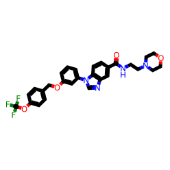 O=C(NCCN1CCOCC1)c1ccc2c(c1)ncn2-c1cccc(OCc2ccc(OC(F)(F)F)cc2)c1